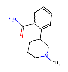 CN1CCCC(c2ccccc2C(N)=O)C1